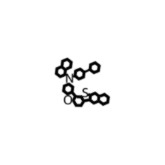 c1ccc(-c2ccc(N(c3ccc4oc5ccc6c7cc8ccccc8cc7sc6c5c4c3)c3cccc4ccccc34)cc2)cc1